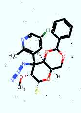 CO[C@H]1[C@@H](S)O[C@@H]2COC(c3ccccc3)O[C@@H]2C1(N=[N+]=[N-])c1cc(Cl)cnc1C